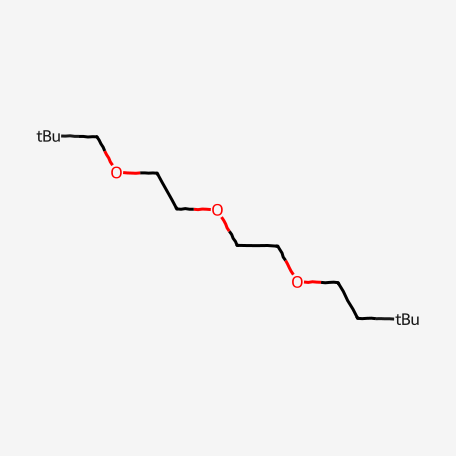 CC(C)(C)CCOCCOCCOCC(C)(C)C